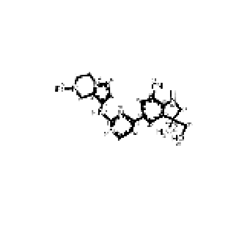 CC(C)N1CCn2ncc(Nc3nccc(-c4cc(C#N)c5c(c4)[C@@](C)(CO)CN5)n3)c2C1